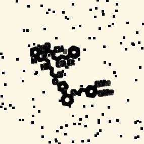 CCOC(=O)[C@@H](CCc1ccccc1)C[C@H](C)C(=O)N1[C@@H](CNCCC(=O)O[C@@H]2CCN([C@@H]3CCCC[C@H]3OCCc3ccc(OC)c(OC)c3)C2)C[C@H]2CCC[C@H]21